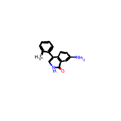 Cc1ccccc1-c1c[nH]c(=O)c2cc(N)ccc12